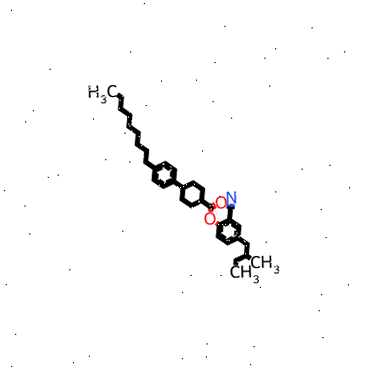 CCCCCCCCCc1ccc(C2CCC(C(=O)Oc3ccc(CC(C)CC)cc3C#N)CC2)cc1